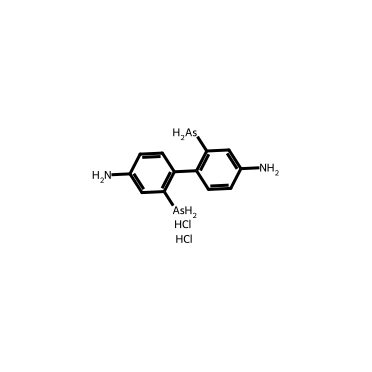 Cl.Cl.Nc1ccc(-c2ccc(N)cc2[AsH2])c([AsH2])c1